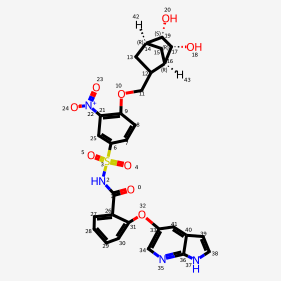 O=C(NS(=O)(=O)c1ccc(OCC2C[C@@H]3C[C@H]2[C@@H](O)[C@H]3O)c([N+](=O)[O-])c1)c1ccccc1Oc1cnc2[nH]ccc2c1